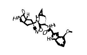 COc1cccc2[nH]c(C(=O)N[C@@H](CC3CC3)C(=O)N[C@@]3(C#N)CC4CNC(=O)[C@@H]4C3)cc12